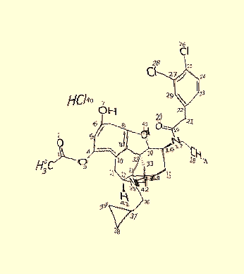 CC(=O)Oc1cc(O)c2c3c1C[C@@H]1[C@@H]4CC[C@H](N(C)C(=O)Cc5ccc(Cl)c(Cl)c5)[C@H](O2)[C@]34CCN1CC1CC1.Cl